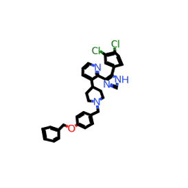 Clc1ccc(-c2[nH]cnc2-c2ncccc2C2CCN(Cc3ccc(OCc4ccccc4)cc3)CC2)cc1Cl